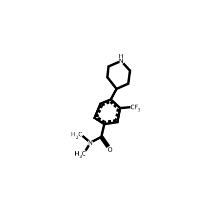 CN(C)C(=O)c1ccc(C2CCNCC2)c(C(F)(F)F)c1